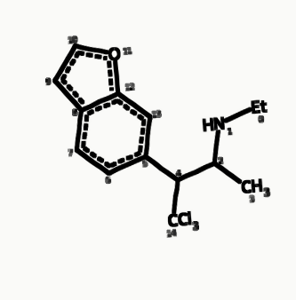 CCNC(C)C(c1ccc2ccoc2c1)C(Cl)(Cl)Cl